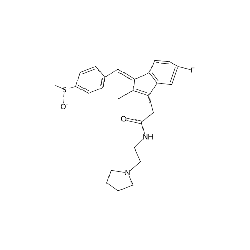 CC1=C(CC(=O)NCCN2CCCC2)c2cc(F)ccc2C1=Cc1ccc([S+](C)[O-])cc1